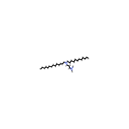 CCCCCCCCCCCCCCN(CCCCCCCCCCCC)CCCN(C)C